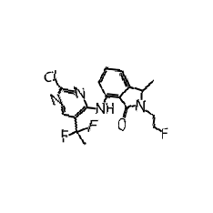 CC1c2cccc(Nc3nc(Cl)ncc3C(C)(F)F)c2C(=O)N1CCF